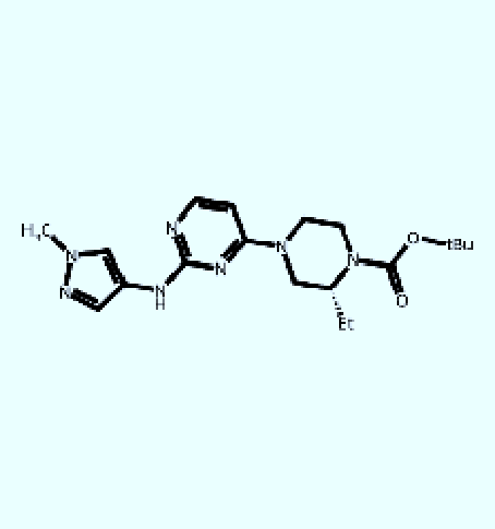 CC[C@@H]1CN(c2ccnc(Nc3cnn(C)c3)n2)CCN1C(=O)OC(C)(C)C